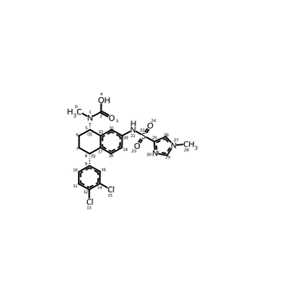 CN(C(=O)O)[C@H]1CC[C@@H](c2ccc(Cl)c(Cl)c2)c2ccc(NS(=O)(=O)c3cn(C)cn3)cc21